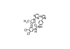 C[C@H](O)CNc1nccc(-n2ccnc2-c2ccc(NC(=O)Nc3ccc(Cl)c(Cl)c3)cc2)n1